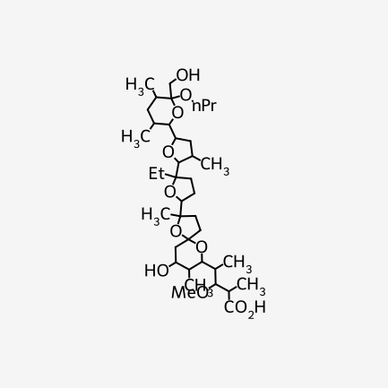 CCCOC1(CO)OC(C2CC(C)C(C3(CC)CCC(C4(C)CCC5(CC(O)C(C)C(C(C)C(OC)C(C)C(=O)O)O5)O4)O3)O2)C(C)CC1C